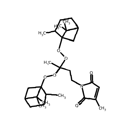 CC1=CC(=O)N(CCC(C)(OOC23CC(CCC2C)C3(C)C)OOC23CC(CCC2C)C3(C)C)C1=O